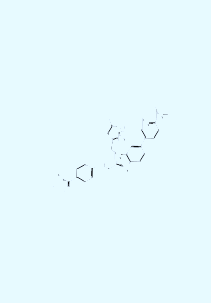 Cc1cc(Cn2c(COc3ccc(C(N)=O)cc3)nc3ccc(-c4ccc(N(C)C)nc4)cc32)no1